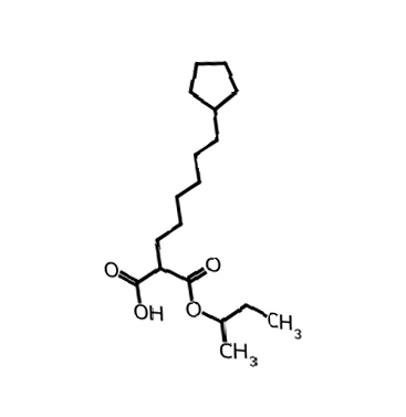 CCC(C)OC(=O)C(CCCCCCC1CCCC1)C(=O)O